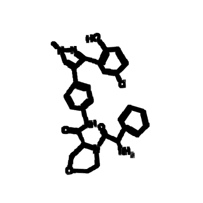 Cn1cc(-c2ccc(NC(=O)[C@@H]3COCCN3C(=O)[C@H](N)c3ccccc3)cc2)c(-c2cc(Cl)ccc2O)n1